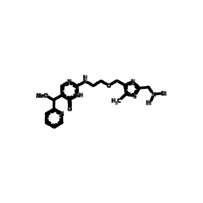 CCN(CC)Cc1nc(COCCNc2ncc(C(OC)c3ccccn3)c(=O)[nH]2)c(C)s1